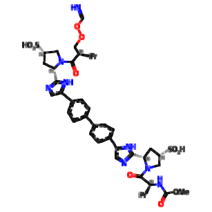 COC(=O)N[C@H](C(=O)N1C[C@@H](S(=O)(=O)O)C[C@H]1c1ncc(-c2ccc(-c3ccc(-c4cnc([C@@H]5C[C@H](S(=O)(=O)O)CN5C(=O)[C@@H](COOC=N)C(C)C)[nH]4)cc3)cc2)[nH]1)C(C)C